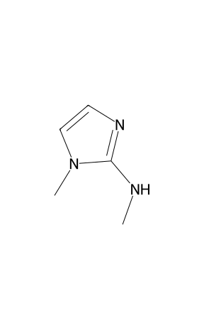 CNc1nccn1C